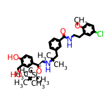 COc1ccc(Cl)cc1CCNC(=O)c1cccc(CC(C)(C)NC[C@@H](O[Si](C)(C)C(C)(C)C)c2ccc(O)c(CO)c2)c1